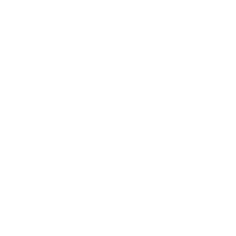 Oc1ccc(OCc2c(F)cccc2F)cc1